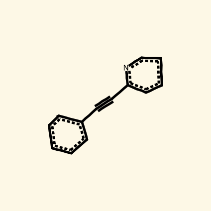 C(#Cc1ccccn1)c1[c]cccc1